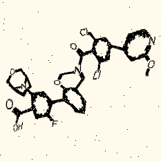 COc1cc(-c2cc(Cl)c(C(=O)N3COc4c(cccc4-c4cc(N5C6CCC5COC6)c(C(=O)O)cc4F)C3)c(Cl)c2)ccn1